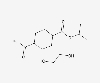 CC(C)OC(=O)C1CCC(C(=O)O)CC1.OCCO